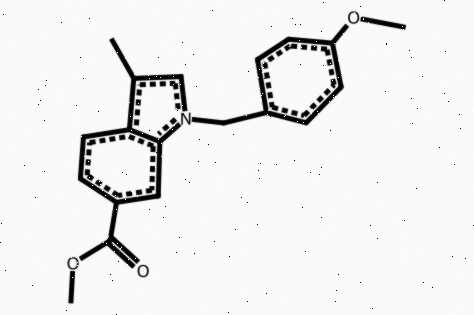 COC(=O)c1ccc2c(C)cn(Cc3ccc(OC)cc3)c2c1